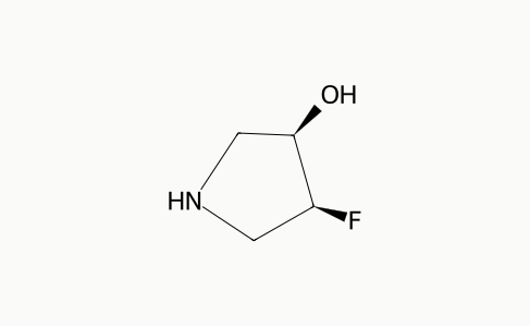 O[C@@H]1CNC[C@@H]1F